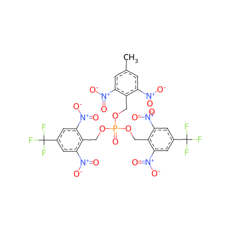 Cc1cc([N+](=O)[O-])c(COP(=O)(OCc2c([N+](=O)[O-])cc(C(F)(F)F)cc2[N+](=O)[O-])OCc2c([N+](=O)[O-])cc(C(F)(F)F)cc2[N+](=O)[O-])c([N+](=O)[O-])c1